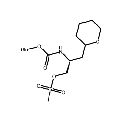 CC(C)(C)OC(=O)N[C@H](COS(C)(=O)=O)CC1CCCCO1